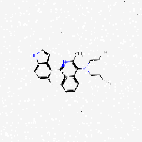 CCCN(CCC)c1c(C)nc(-c2c(C)ccc3[nH]ccc23)c2ccccc12